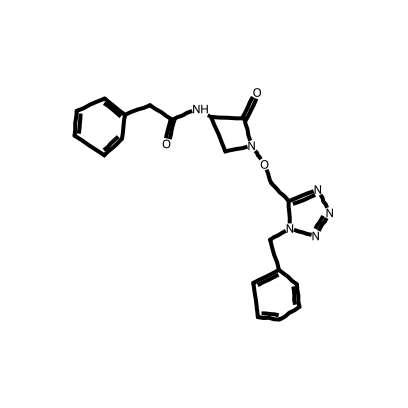 O=C(Cc1ccccc1)N[C@H]1CN(OCc2nnnn2Cc2ccccc2)C1=O